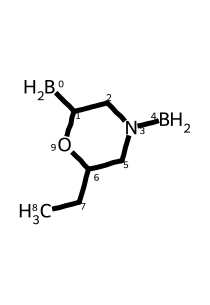 BC1CN(B)CC(CC)O1